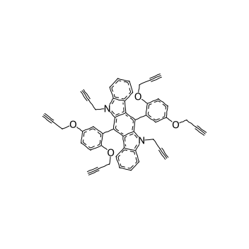 C#CCOc1ccc(OCC#C)c(-c2c3c4ccccc4n(CC#C)c3c(-c3cc(OCC#C)ccc3OCC#C)c3c4ccccc4n(CC#C)c23)c1